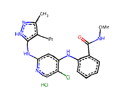 CONC(=O)c1ccccc1Nc1cc(Nc2[nH]nc(C)c2C(C)C)ncc1Cl.Cl